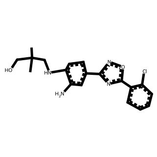 CC(C)(CO)CNc1ccc(-c2noc(-c3ccccc3Cl)n2)cc1N